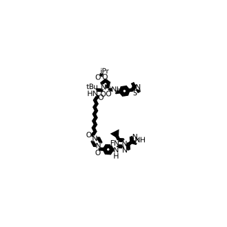 Cc1ncsc1-c1ccc(CNC(=O)[C@@H]2C[C@@H](OC(=O)C(C)C)CN2C(=O)[C@@H](NC(=O)CCCCCCCCCCC(=O)N2CCN(C(=O)c3ccc(Nc4nc(C5CC5)cn5c(-c6cn[nH]c6)cnc45)c(F)c3)CC2)C(C)(C)C)cc1